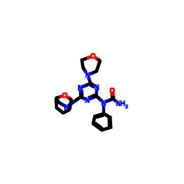 NC(=O)N(c1ccccc1)c1nc(N2CCOCC2)nc(N2CC3CCC2CO3)n1